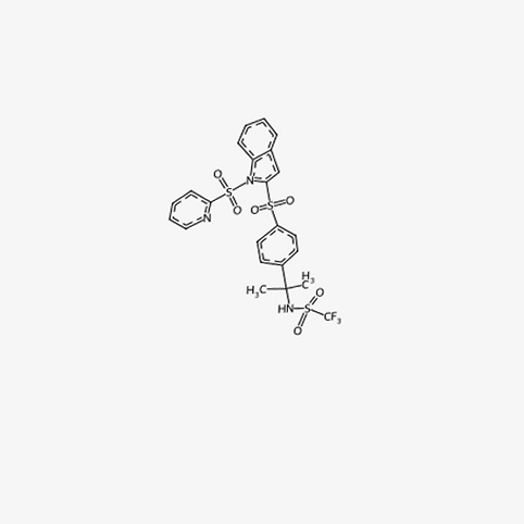 CC(C)(NS(=O)(=O)C(F)(F)F)c1ccc(S(=O)(=O)c2cc3ccccc3n2S(=O)(=O)c2ccccn2)cc1